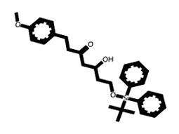 COc1ccc(CCC(=O)CC(O)CCO[Si](c2ccccc2)(c2ccccc2)C(C)(C)C)cc1